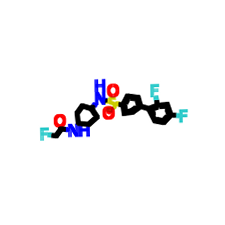 O=C(CF)NC1CCC(NS(=O)(=O)c2ccc(-c3ccc(F)cc3F)cc2)CC1